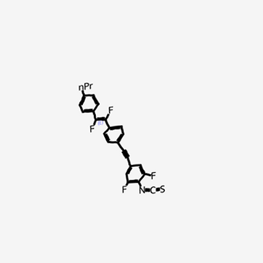 CCCc1ccc(/C(F)=C(\F)c2ccc(C#Cc3cc(F)c(N=C=S)c(F)c3)cc2)cc1